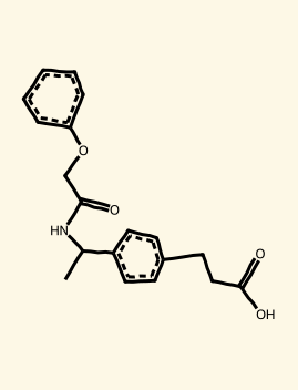 CC(NC(=O)COc1ccccc1)c1ccc(CCC(=O)O)cc1